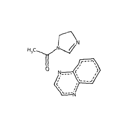 CC(=O)N1C=NCC1.c1ccc2nccnc2c1